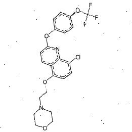 FC(F)(F)Oc1ccc(Oc2ccc3c(OCCN4CCOCC4)ccc(Cl)c3n2)cc1